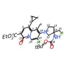 CCOC(=O)c1cc(C2CC2)c2c(C)c(N3CCC(CF)(NC(=O)OC(C)(C)C)C3)c(F)cn2c1=O